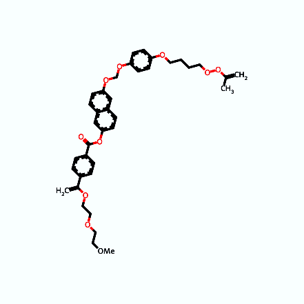 C=C(C)OOCCCCOc1ccc(OCOc2ccc3cc(OC(=O)c4ccc(C(=C)OCCOCCOC)cc4)ccc3c2)cc1